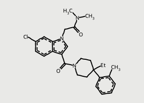 CCC1(c2ccccc2C)CCN(C(=O)c2cn(CC(=O)N(C)C)c3cc(Cl)ccc23)CC1